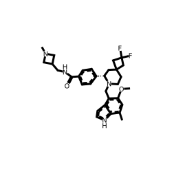 COc1cc(C)c2[nH]ccc2c1CN1CCC2(C[C@H]1c1ccc(C(=O)NCC3CN(C)C3)cc1)CC(F)(F)C2